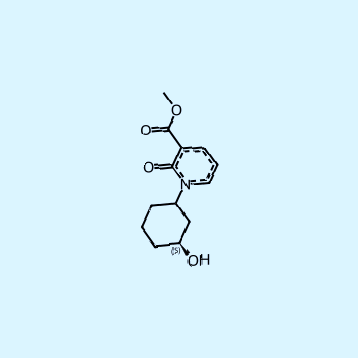 COC(=O)c1cccn(C2CCC[C@H](O)C2)c1=O